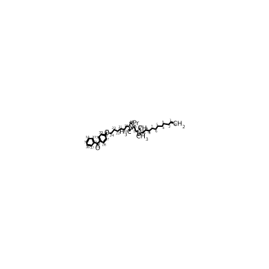 C=CCCCCCCCCC[N+](C)(C)CC[N+](C)(CCC)CCCCCCOc1ccc(C(=O)c2ccccc2)cc1